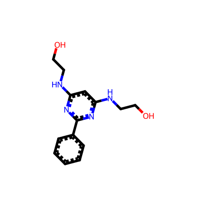 OCCNc1cc(NCCO)nc(-c2ccccc2)n1